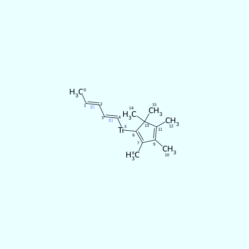 C/C=C/C=[CH]/[Ti][C]1=C(C)C(C)=C(C)C1(C)C